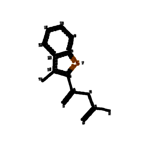 C=C(C)CC(=C)c1sc2ccccc2c1C